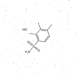 Cc1ccc(S(N)(=O)=O)c(C)c1C.Cl